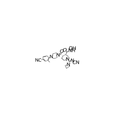 Cc1cc(C#N)ccc1N1CCN(C(=O)[C@H]2CCN(/C(=N/C#N)N3CCC3)C[C@@H]2C(=O)NO)CC1